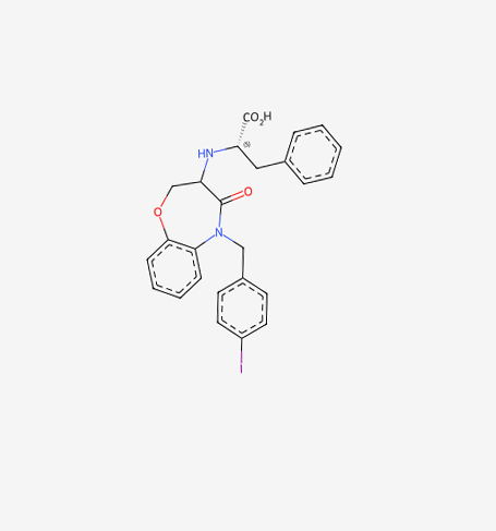 O=C(O)[C@H](Cc1ccccc1)NC1COc2ccccc2N(Cc2ccc(I)cc2)C1=O